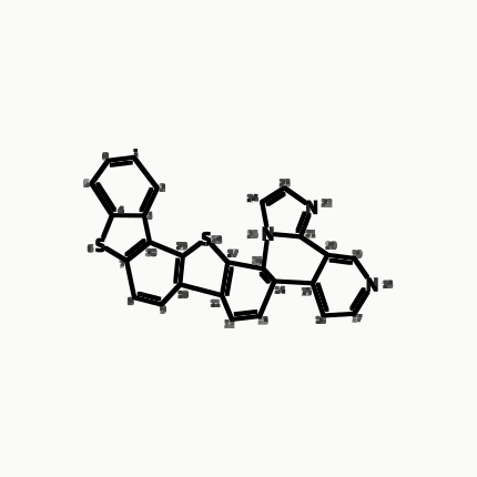 c1ccc2c(c1)sc1ccc3c4ccc5c6ccncc6c6nccn6c5c4sc3c12